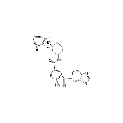 O=C(N[C@@H]1CCC[C@@](O)(Cc2c(F)cccc2F)C1)c1ccc2[nH]nc(-c3ccc4ncsc4c3)c2c1